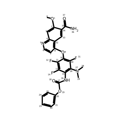 COc1cc2nccc(Oc3c(F)c(F)c(NC(=O)Oc4ccccc4)c(N(C)C)c3F)c2cc1C(N)=O